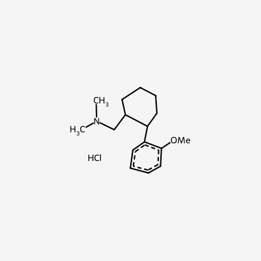 COc1ccccc1C1CCCCC1CN(C)C.Cl